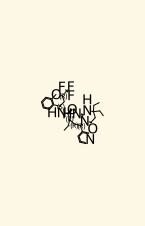 CCC1(CC)CC(=O)N([C@@H](c2cccnc2)[C@@H]2C(C)[C@H]2C(=O)N[C@H]2C[C@H](C(F)(F)F)Oc3ccccc32)C(=N)N1